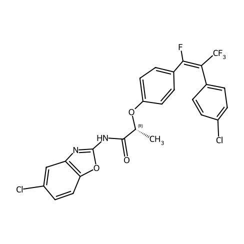 C[C@@H](Oc1ccc(C(F)=C(c2ccc(Cl)cc2)C(F)(F)F)cc1)C(=O)Nc1nc2cc(Cl)ccc2o1